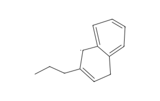 CCCC1=CCc2ccccc2[CH]1